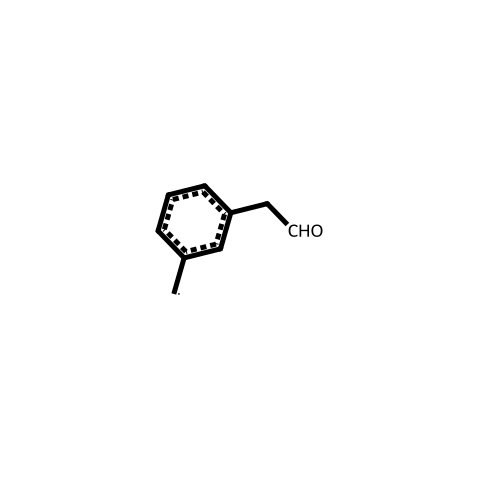 [CH2]c1cccc(CC=O)c1